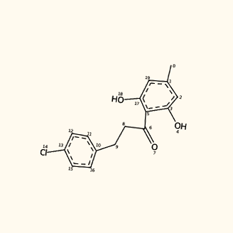 Cc1cc(O)c(C(=O)CCc2ccc(Cl)cc2)c(O)c1